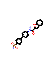 [NH]S(=O)(=O)c1ccc(-c2ccc(NC(=O)c3cc4ccccc4o3)cc2)cc1